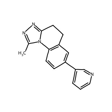 Cc1nnc2n1-c1ccc(-c3cccnc3)cc1CC2